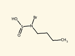 CCCCN(Br)S(=O)O